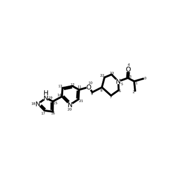 CC(C)C(=O)N1CCC(COc2ccc(-c3ccn[nH]3)nc2)CC1